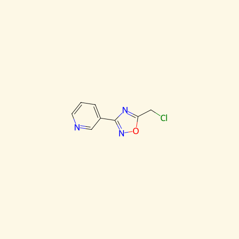 ClCc1nc(-c2cccnc2)no1